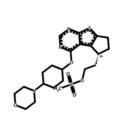 CS(=O)(=O)OCC[C@H]1CCc2sc3ncnc(OC4CCC(N5CCOCC5)CC4)c3c21